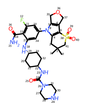 CC1(C)Cc2c(c3c(n2-c2cc(F)c(C(N)=O)c(N[C@H]4CC[C@H](NC(=O)N5CCNCC5)CC4)c2)COC3)S(=O)(=O)C1